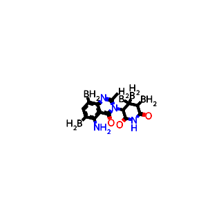 Bc1cc(B)c2nc(C)n(C3C(=O)NC(=O)C(B)C3(B)B)c(=O)c2c1N